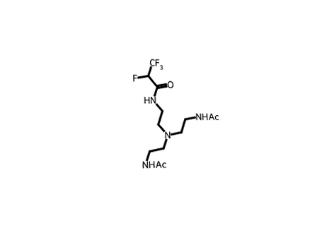 CC(=O)NCCN(CCNC(C)=O)CCNC(=O)C(F)C(F)(F)F